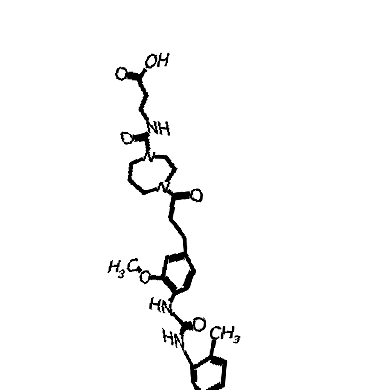 COc1cc(CCC(=O)N2CCCN(C(=O)NCCC(=O)O)CC2)ccc1NC(=O)Nc1ccccc1C